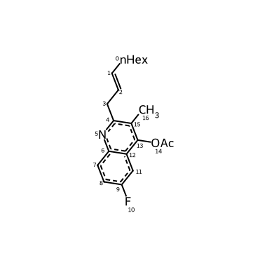 CCCCCC/C=C/Cc1nc2ccc(F)cc2c(OC(C)=O)c1C